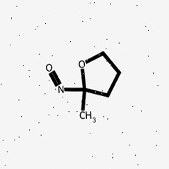 CC1(N=O)CCCO1